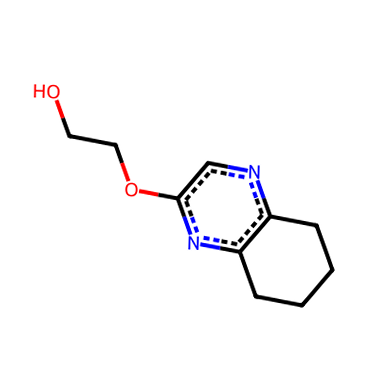 OCCOc1cnc2c(n1)CCCC2